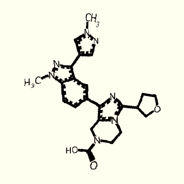 Cn1cc(-c2nn(C)c3ccc(-c4nc(C5CCOC5)n5c4CN(C(=O)O)CC5)cc23)cn1